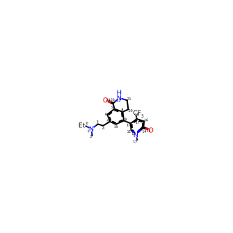 CCN(C)CCc1cc2c(c(-c3cn(C)c(=O)cc3C(F)(F)F)c1)CCNC2=O